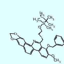 COc1ccc2c(c(CCCO[Si](C)(C)C(C)(C)C)nc3c4cc5c(cc4ccc23)OCO5)c1OCc1ccccc1